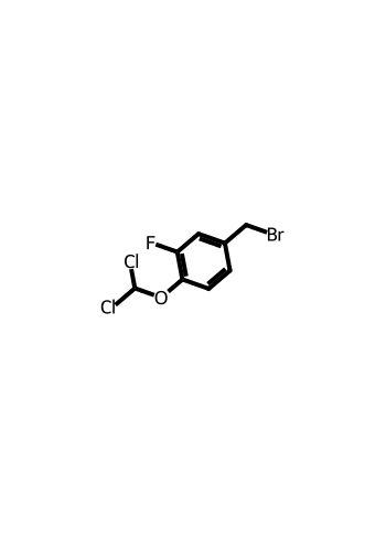 Fc1cc(CBr)ccc1OC(Cl)Cl